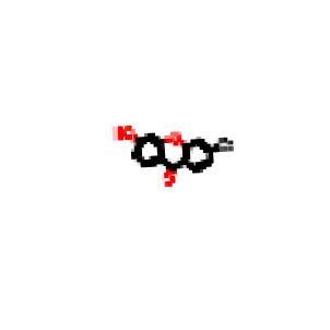 CCc1ccc2c(=O)c3ccc(O)cc3oc2c1